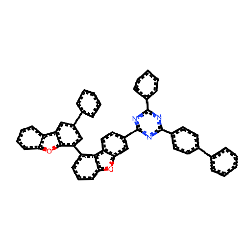 c1ccc(-c2ccc(-c3nc(-c4ccccc4)nc(-c4ccc5c(c4)oc4cccc(-c6cc(-c7ccccc7)cc7c6oc6ccccc67)c45)n3)cc2)cc1